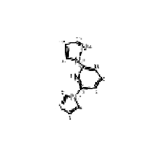 c1cc(-n2ccnc2)nc(-n2cccn2)c1